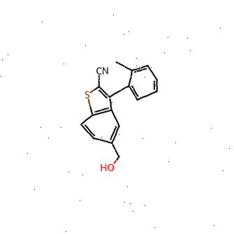 Cc1ccccc1-c1c(C#N)sc2ccc(CO)cc12